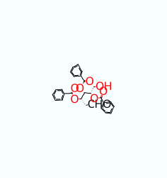 O=CC[C@H](OC(=O)c1ccccc1)[C@H](OC(=O)c1ccccc1)[C@H](CO)OC(=O)c1ccccc1